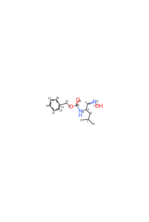 CC(C)CC(/C=N\O)NC(=O)OCc1ccccc1